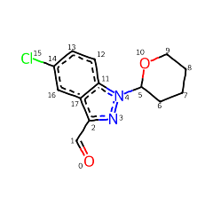 O=Cc1nn(C2CCCCO2)c2ccc(Cl)cc12